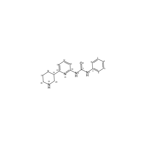 O=C(Nc1ccccc1)Nc1cccc(C2CCCNC2)n1